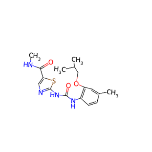 CNC(=O)c1cnc(NC(=O)Nc2ccc(C)cc2OCC(C)C)s1